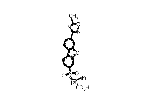 Cc1nc(-c2ccc3c(c2)oc2cc(S(=O)(=O)N[C@H](C(=O)O)C(C)C)ccc23)no1